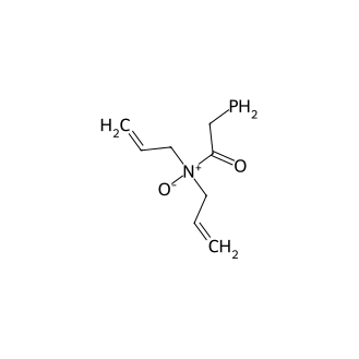 C=CC[N+]([O-])(CC=C)C(=O)CP